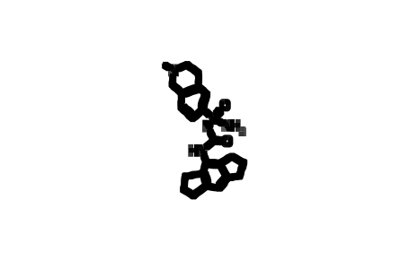 CN1CCc2cc(S(N)(=O)=NC(=O)Nc3c4c(cc5c3CCC5)CCC4)ccc2C1